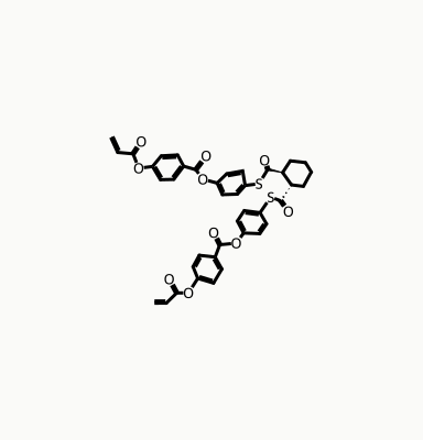 C=CC(=O)Oc1ccc(C(=O)Oc2ccc(SC(=O)[C@H]3CCCC[C@@H]3C(=O)Sc3ccc(OC(=O)c4ccc(OC(=O)C=C)cc4)cc3)cc2)cc1